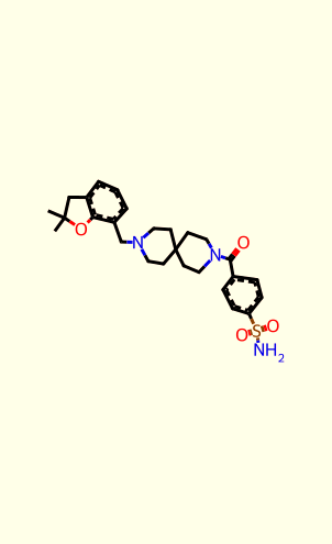 CC1(C)Cc2cccc(CN3CCC4(CC3)CCN(C(=O)c3ccc(S(N)(=O)=O)cc3)CC4)c2O1